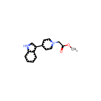 COC(=O)C[n+]1ccc(-c2c[nH]c3ccccc23)cc1